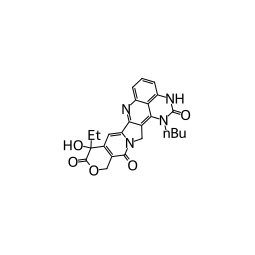 CCCCN1C(=O)Nc2cccc3nc4c(c1c23)Cn1c-4cc2c(c1=O)COC(=O)C2(O)CC